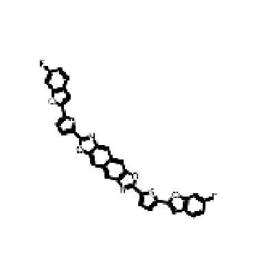 Fc1ccc2cc(-c3ccc(-c4nc5cc6cc7oc(-c8ccc(-c9cc%10ccc(F)cc%10o9)s8)nc7cc6cc5o4)s3)oc2c1